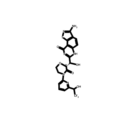 Nc1nsc2c1ccc1[nH]c(C(O)[C@H]3OCCN(c4cccc(C(O)C(F)(F)F)n4)C3=O)nc(=O)c12